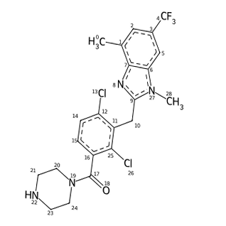 Cc1cc(C(F)(F)F)cc2c1nc(Cc1c(Cl)ccc(C(=O)N3CCNCC3)c1Cl)n2C